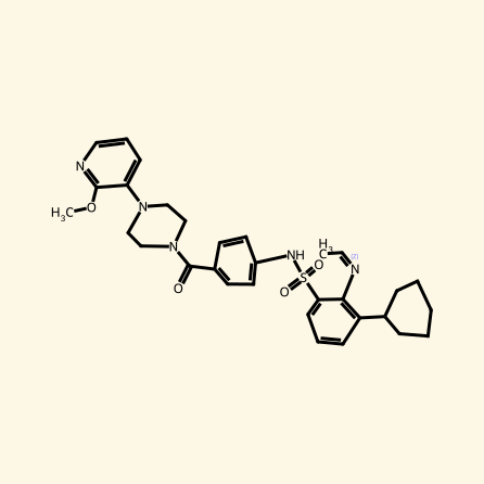 C/C=N\c1c(C2CCCCC2)cccc1S(=O)(=O)Nc1ccc(C(=O)N2CCN(c3cccnc3OC)CC2)cc1